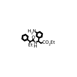 CCOC(=O)CC(NC(=O)C(CC)c1ccccc1)c1cccc(N)c1